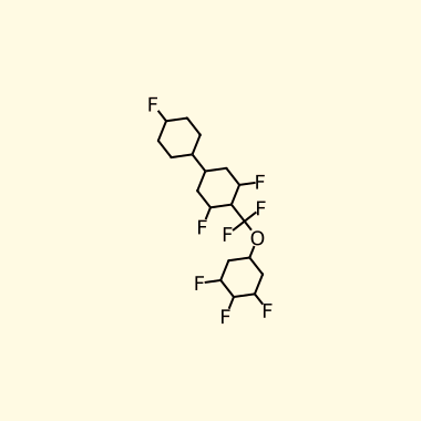 FC1CCC(C2CC(F)C(C(F)(F)OC3CC(F)C(F)C(F)C3)C(F)C2)CC1